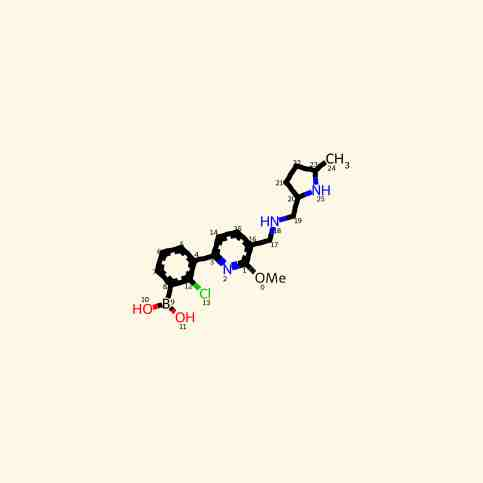 COc1nc(-c2cccc(B(O)O)c2Cl)ccc1CNCC1CCC(C)N1